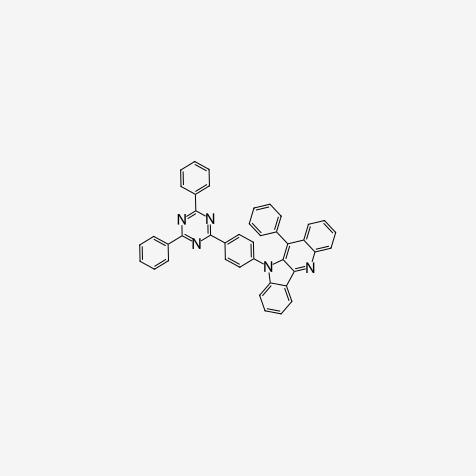 c1ccc(-c2nc(-c3ccccc3)nc(-c3ccc(-n4c5ccccc5c5nc6ccccc6c(-c6ccccc6)c54)cc3)n2)cc1